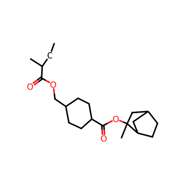 CCC(C)C(=O)OCC1CCC(C(=O)OC2(C)CC3CCC2C3)CC1